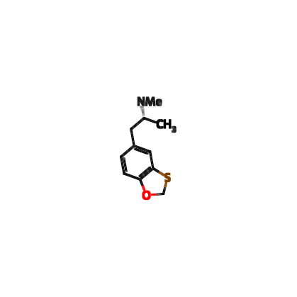 CN[C@H](C)Cc1ccc2c(c1)SCO2